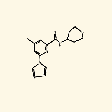 Cc1cc(C(=O)NC2CCOCC2)nc(-n2ccnc2)c1